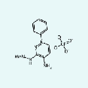 CNNc1n[n+](-c2ccccc2)ccc1N.[O-][Cl+3]([O-])([O-])[O-]